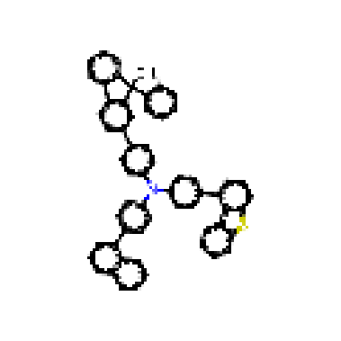 CC1(c2ccccc2)c2ccccc2-c2ccc(-c3ccc(N(c4ccc(-c5cccc6ccccc56)cc4)c4ccc(-c5cccc6sc7ccccc7c56)cc4)cc3)cc21